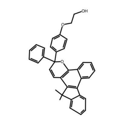 CC1(C)c2ccccc2-c2c1c1c(c3ccccc23)OC(c2ccccc2)(c2ccc(OCCO)cc2)C=C1